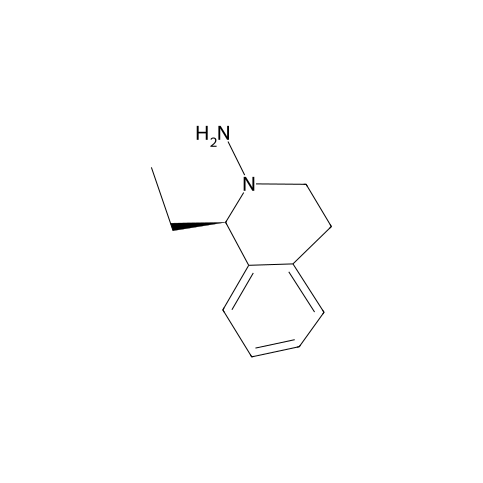 CC[C@@H]1c2ccccc2CCN1N